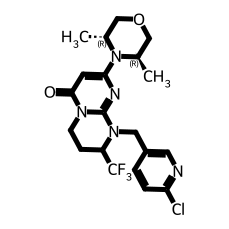 C[C@@H]1COC[C@@H](C)N1c1cc(=O)n2c(n1)N(Cc1ccc(Cl)nc1)C(C(F)(F)F)CC2